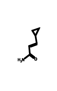 NC(=O)C=CC1CC1